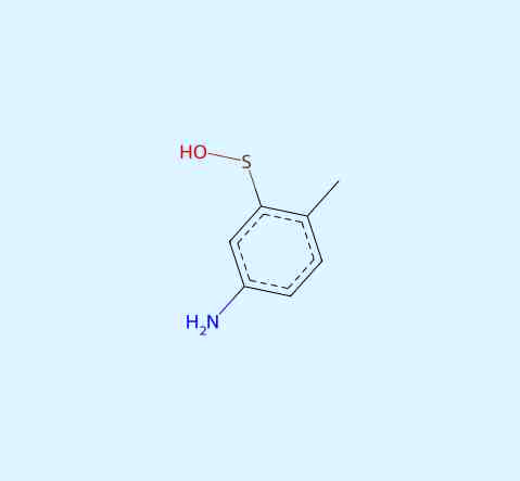 Cc1ccc(N)cc1SO